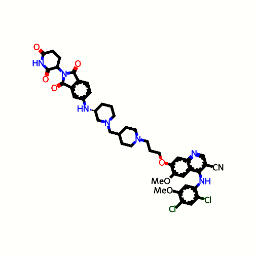 COc1cc(Nc2c(C#N)cnc3cc(OCCCN4CCC(CN5CCC[C@@H](Nc6ccc7c(c6)C(=O)N(C6CCC(=O)NC6=O)C7=O)C5)CC4)c(OC)cc23)c(Cl)cc1Cl